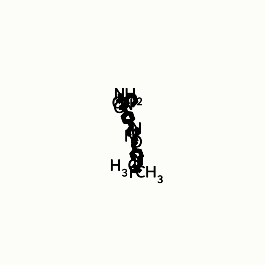 CC(C)(F)CN1CCC(COc2cnc(-c3ccc(C(=O)N4CCCCC4C(N)=O)cc3)cn2)CC1